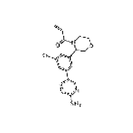 C=CC(=O)N1CCOC[C@H]1c1cc(Cl)cc(-c2cnc(N)nc2)c1